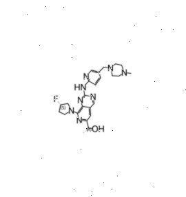 C[C@@H](O)c1cc2cnc(Nc3ccc(CN4CCN(C)CC4)cn3)nc2c(N2CC[C@H](F)C2)n1